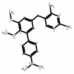 COc1cc(Cc2cnc(N)nc2N)cc(-c2ccc(N(C)C)cc2)c1OC